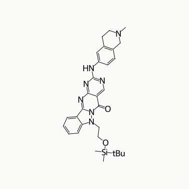 CN1CCc2cc(Nc3ncc4c(=O)n5c(nc4n3)c3ccccc3n5CCO[Si](C)(C)C(C)(C)C)ccc2C1